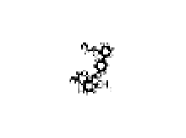 CN1CCCC2(COCC(=O)N2)C1COC1CCC(c2ccccc2OCC=O)CC1